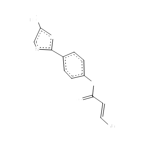 CCCC=CC(=O)Oc1ccc(-c2ncc(C)s2)cc1